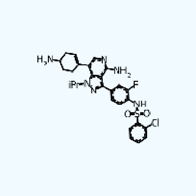 CC(C)n1nc(-c2ccc(NS(=O)(=O)c3ccccc3Cl)c(F)c2)c2c(N)ncc(C3=CCC(N)CC3)c21